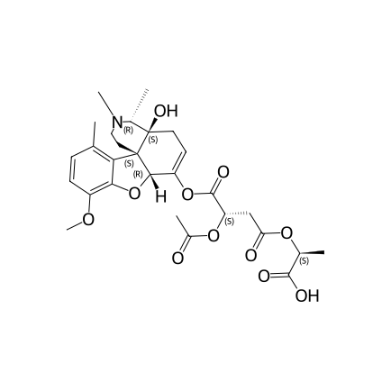 COc1ccc(C)c2c1O[C@H]1C(OC(=O)[C@H](CC(=O)O[C@@H](C)C(=O)O)OC(C)=O)=CC[C@@]3(O)[C@@H](C)N(C)CC[C@]213